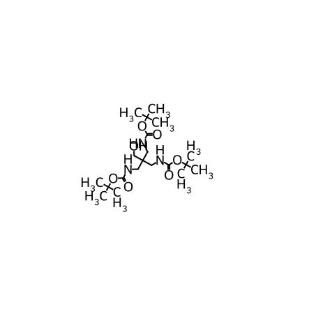 CC(C)(C)OC(=O)NCC(CO)(CNC(=O)OC(C)(C)C)CNC(=O)OC(C)(C)C